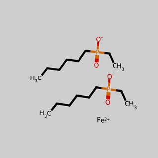 CCCCCCP(=O)([O-])CC.CCCCCCP(=O)([O-])CC.[Fe+2]